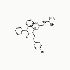 N=C(N)NCCC[C@H](C(N)=O)N(CCc1ccc(Br)cc1)C(=O)C(c1ccccc1)c1ccccc1